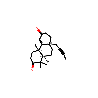 CC#CC[C@]12CCC(=O)C=C1[C@@]1(C)CCC(=O)C(C)(C)[C@@H]1CC2